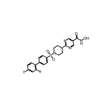 O=C(NO)c1cnc(N2CCN(S(=O)(=O)c3ccc(-c4ccc(F)cc4F)cc3)CC2)nc1